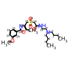 CCCCN(CCCC)CCNC(=O)CS(=O)(=O)Cc1nc(-c2cccc(OC)c2)oc1C